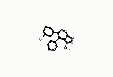 Cc1cccc(-c2nnc3[nH]nc(N)c3c2-c2ccccc2)c1